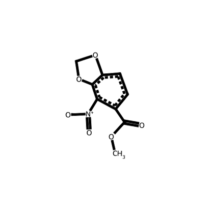 COC(=O)c1ccc2c(c1[N+](=O)[O-])OCO2